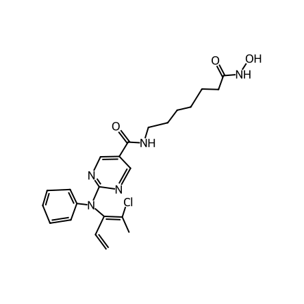 C=C/C(=C(\C)Cl)N(c1ccccc1)c1ncc(C(=O)NCCCCCCC(=O)NO)cn1